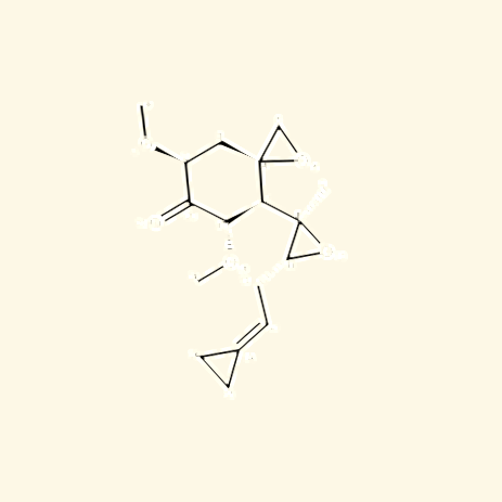 CO[C@H]1C[C@]2(CO2)[C@@H]([C@@]2(C)O[C@@H]2CC=C2CC2)[C@H](OC)C1=O